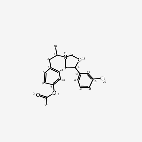 CC(=O)Oc1ccc(CC(C)N2COC(c3cccc(Cl)c3)C2)cc1